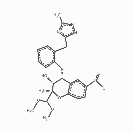 COC(OC)[C@@]1(C)Oc2ccc([N+](=O)[O-])cc2[C@@H](Nc2ccccc2Cc2nnn(C)n2)[C@@H]1O